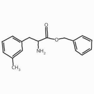 Cc1cccc(CC(N)C(=O)OCc2ccccc2)c1